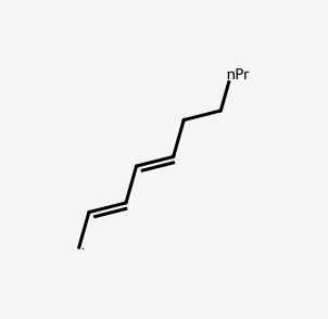 [CH2]/C=C/C=CCCCCC